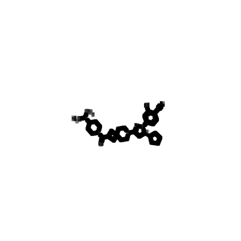 CN(C)C1CCN(C(=O)C2CC3(CCN(C4=NN(c5ccc(C#N)c(Cl)c5)[C@@H](C5CCCC5)C4)CC3)C2)CC1